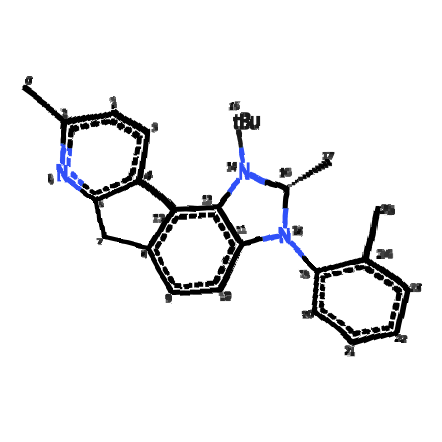 Cc1ccc2c(n1)Cc1ccc3c(c1-2)N(C(C)(C)C)[C@H](C)N3c1ccccc1C